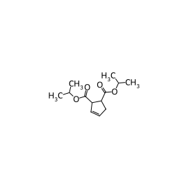 CC(C)OC(=O)C1C=CCC1C(=O)OC(C)C